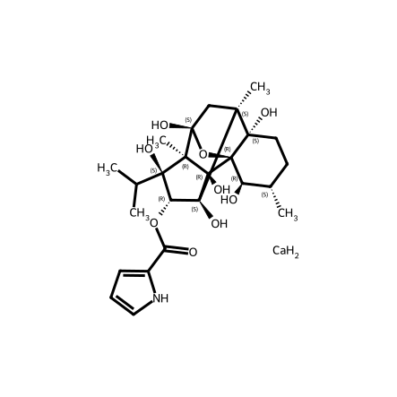 CC(C)[C@@]1(O)[C@@H](OC(=O)c2ccc[nH]2)[C@@]2(O)[C@@]3(C)C[C@]4(O)O[C@@]5([C@H](O)[C@@H](C)CC[C@]35O)[C@@]2(O)[C@@]14C.[CaH2]